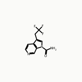 NC(=O)n1cc(CC(F)(F)F)c2ccncc21